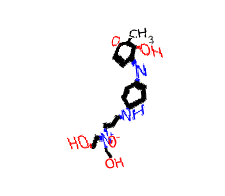 CC1=C(O)/C(=N/c2ccc(NCCC[N+]([O-])(CCO)CCO)cc2)C=CC1=O